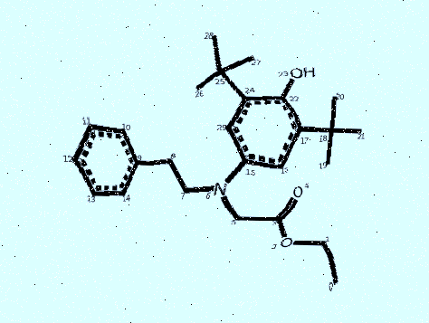 CCOC(=O)CN(CCc1ccccc1)c1cc(C(C)(C)C)c(O)c(C(C)(C)C)c1